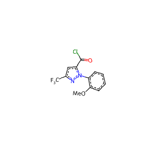 COc1ccccc1-n1nc(C(F)(F)F)cc1C(=O)Cl